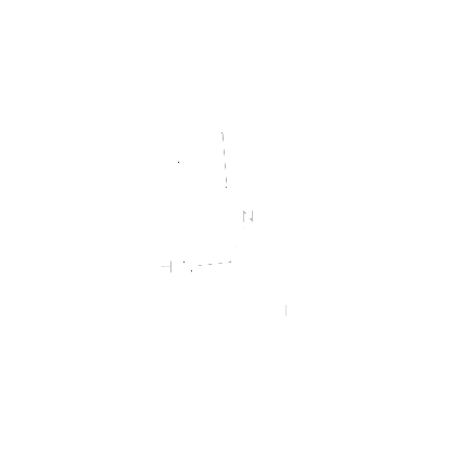 CC(N)[N]C1CC1